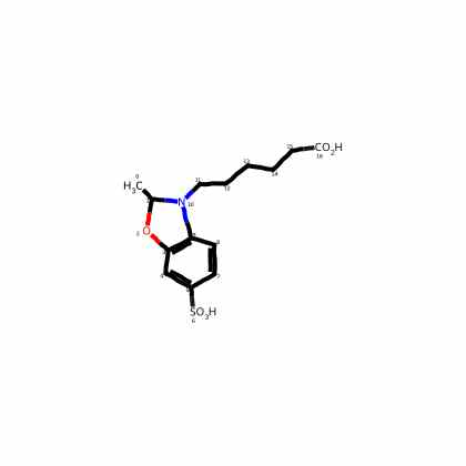 CC1Oc2cc(S(=O)(=O)O)ccc2N1CCCCCC(=O)O